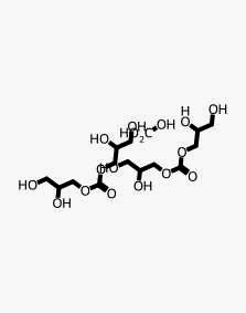 O=C(O)O.O=C(OCC(O)CO)OCC(O)CO.O=C(OCC(O)CO)OCC(O)CO